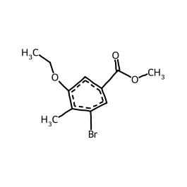 CCOc1cc(C(=O)OC)cc(Br)c1C